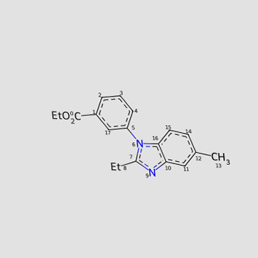 CCOC(=O)c1cccc(-n2c(CC)nc3cc(C)ccc32)c1